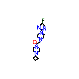 O=C(CN1CCN(c2ncc(F)cn2)CC1)N1CCN(C2CCC2)CC1